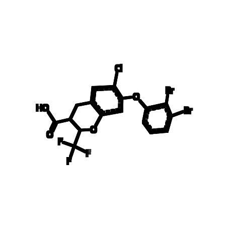 O=C(O)C1Cc2cc(Cl)c(Oc3cccc(Br)c3Br)cc2OC1C(F)(F)F